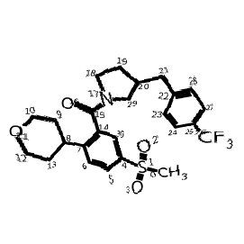 CS(=O)(=O)c1ccc(C2CCOCC2)c(C(=O)N2CCC(Cc3ccc(C(F)(F)F)cc3)C2)c1